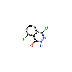 O=c1[nH]nc(Cl)c2cccc(F)c12